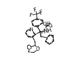 O=C(O)N[C@@](Cc1ccccc1)(c1ccc(C(F)(F)F)cc1)c1ncccc1CC1OCCO1